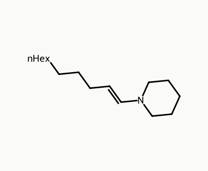 CCCCCCCCCC=CN1CCCCC1